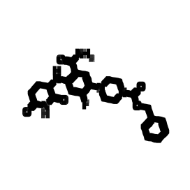 NC(=O)c1cc(N2CCN(C(=O)OCc3ccccc3)CC2)c(F)cc1NC1CCC(=O)NC1=O